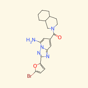 Nc1cc(C(=O)N2CCC3CCCCC3C2)cc2nc(-c3ccc(Br)o3)nn12